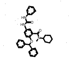 CN(C(=O)c1cc(NC(=O)Nc2ccccc2)ccc1OC(c1ccccc1)c1ccccc1)C1CCCCC1